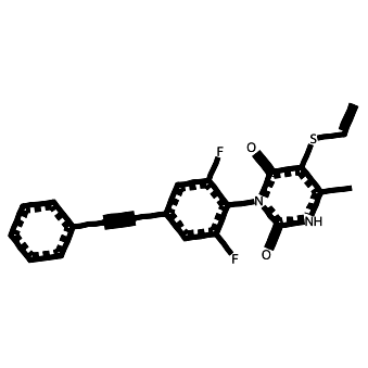 C=CSc1c(C)[nH]c(=O)n(-c2c(F)cc(C#Cc3ccccc3)cc2F)c1=O